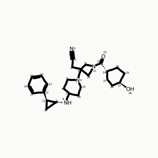 N#CCC1(N2CCC(N[C@@H]3C[C@H]3c3ccccc3)CC2)CN(C(=O)[C@H]2CC[C@H](O)CC2)C1